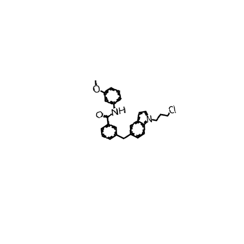 COc1cccc(NC(=O)c2cccc(Cc3ccc4c(ccn4CCCCl)c3)c2)c1